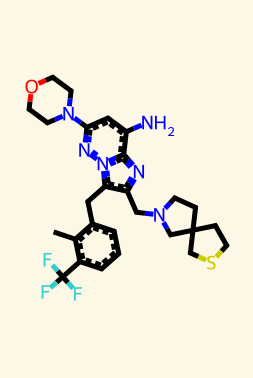 Cc1c(Cc2c(CN3CCC4(CCSC4)C3)nc3c(N)cc(N4CCOCC4)nn23)cccc1C(F)(F)F